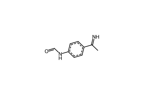 CC(=N)c1ccc(NC=O)cc1